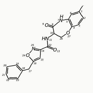 COc1ccc2c(c1)NC(=O)C(NC(=O)c1cc(Cc3ccccc3)on1)CO2